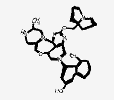 CC1CN2c3nc(OCC45CCCN4CCC5)nc4c3C(CN(c3cc(O)cc5cccc(Cl)c35)C4)OCC2CN1